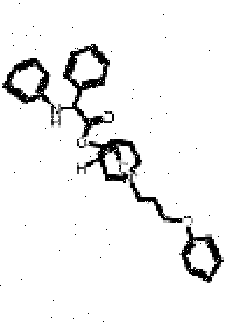 O=C(O[C@H]1C[N+]2(CCCOc3ccccc3)CCC1CC2)[C@@H](Nc1ccccc1)c1ccccc1